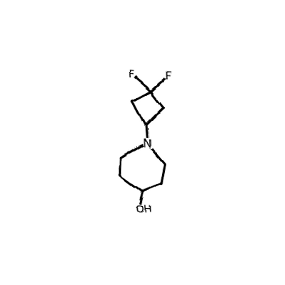 OC1CCN(C2CC(F)(F)C2)CC1